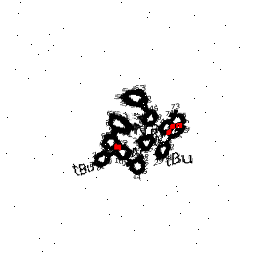 CC(C)(C)c1ccc(-c2ccc3c(c2)C2(C)CCCCC2(C)N3c2cc3c4c(c2)N(c2ccc(C(C)(C)C)cc2-c2ccccc2)c2cc5c(cc2B4c2ccc(-c4ccccc4)cc2N3c2cccc(-c3ccccc3)c2)C(C)(C)CCC5(C)C)cc1